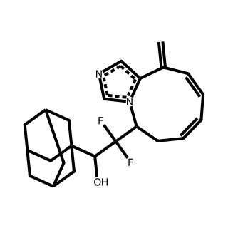 C=C1/C=C\C=C/CC(C(F)(F)C(O)C23CC4CC(CC(C4)C2)C3)n2cncc21